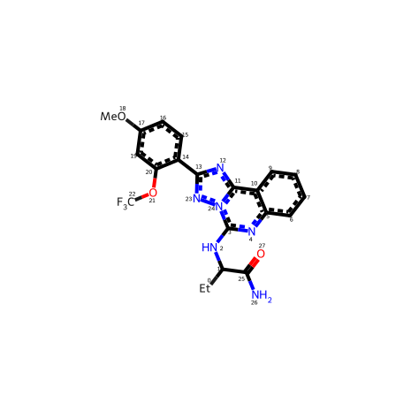 CCC(Nc1nc2ccccc2c2nc(-c3ccc(OC)cc3OC(F)(F)F)nn12)C(N)=O